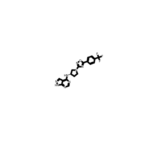 FC(F)(F)c1ccc(-c2nc(N3CC[C@H](Nc4ncnc5[nH]ncc45)C3)no2)cc1